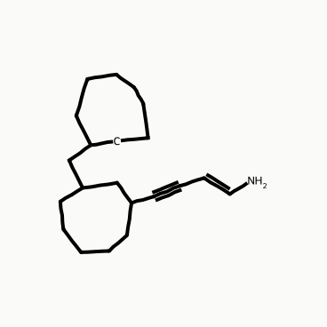 N/C=C/C#CC1CCCCCC(CC2CCCCCCC2)C1